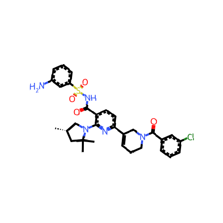 C[C@@H]1CN(c2nc(C3=CCCN(C(=O)c4cccc(Cl)c4)C3)ccc2C(=O)NS(=O)(=O)c2cccc(N)c2)C(C)(C)C1